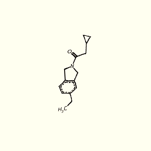 CCc1ccc2c(c1)CN(C(=O)CC1CC1)C2